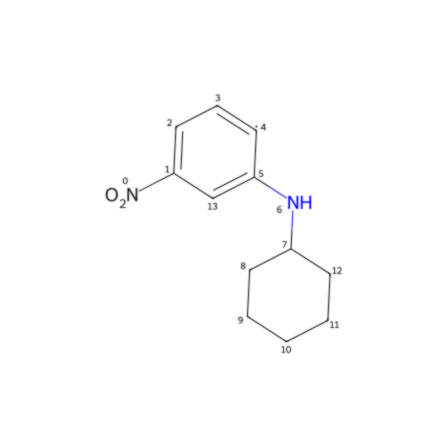 O=[N+]([O-])c1cc[c]c(NC2CCCCC2)c1